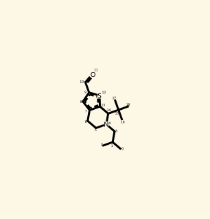 C[C](C)CN1CCc2cc(C=O)sc2C1C(C)(C)C